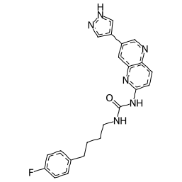 O=C(NCCCCc1ccc(F)cc1)Nc1ccc2ncc(-c3cn[nH]c3)cc2n1